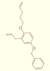 C=CCCCOc1[c]cc(OCc2ccccc2)cc1CC=C